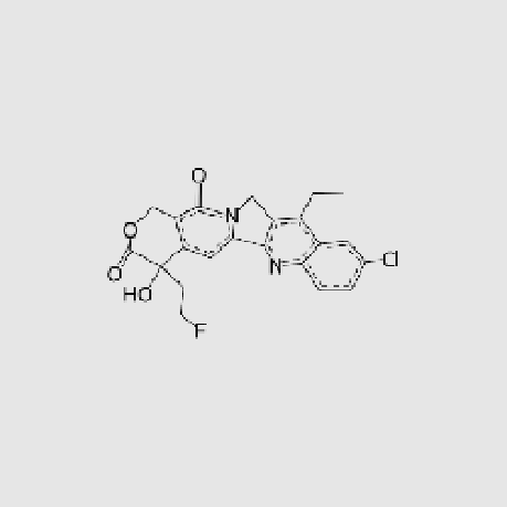 CCc1c2c(nc3ccc(Cl)cc13)-c1cc3c(c(=O)n1C2)COC(=O)C3(O)CCF